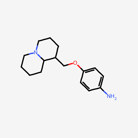 Nc1ccc(OCC2CCCN3CCCCC23)cc1